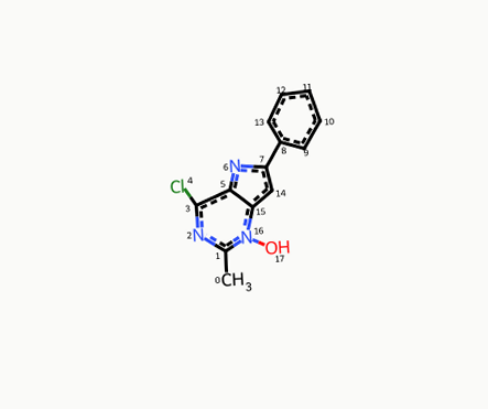 Cc1nc(Cl)c2nc(-c3ccccc3)cc-2n1O